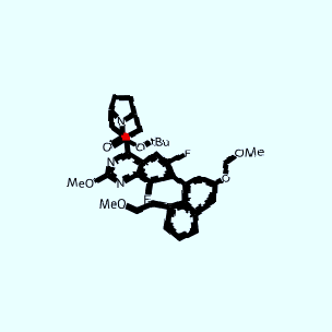 COCCc1cccc2cc(OCOC)cc(-c3c(F)cc4c(N5CC6CCC(C5)N6C(=O)OC(C)(C)C)nc(OC)nc4c3F)c12